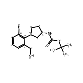 CC(C)(C)OC(=O)N[C@H]1CCN(c2c(F)cccc2[CH]O)C1